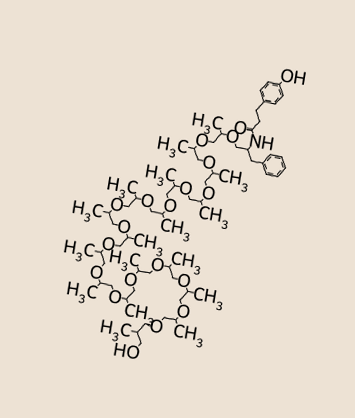 CC(CO)COCC(C)OCC(C)OCC(C)OCC(C)OCC(C)OCC(C)OCC(C)OCC(C)OCC(C)OCC(C)OCC(C)OCC(C)OCC(C)OCC(C)OCC(C)OCC(C)OCC(Cc1ccccc1)NC(=O)CCc1ccc(O)cc1